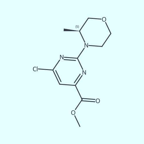 COC(=O)c1cc(Cl)nc(N2CCOC[C@@H]2C)n1